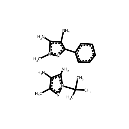 Cc1nn(C(C)(C)C)c(N)c1N.Cn1nc(-c2ccccc2)c(N)c1N